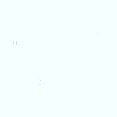 C=Cc1ccc2[nH]cc(C)c2c1